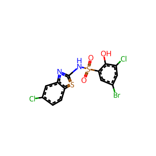 O=S(=O)(Nc1nc2cc(Cl)ccc2s1)c1cc(Br)cc(Cl)c1O